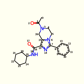 CC(=O)N1CCn2c(-c3ccccc3)nc(C(=O)NC3CCCCC3)c2C1